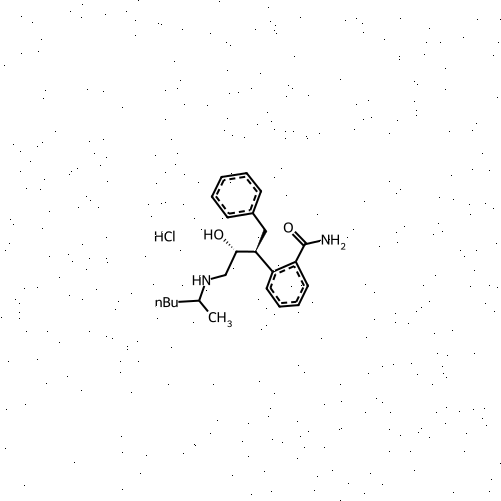 CCCCC(C)NC[C@H](O)[C@@H](Cc1ccccc1)c1ccccc1C(N)=O.Cl